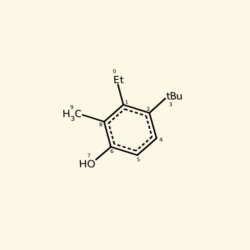 CCc1c(C(C)(C)C)ccc(O)c1C